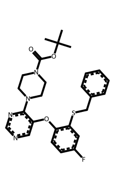 CC(C)(C)OC(=O)N1CCN(c2ncncc2Oc2ccc(F)cc2SCc2ccccc2)CC1